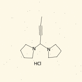 CC#CC(N1CCCC1)N1CCCC1.Cl